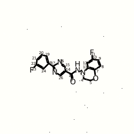 O=C(NN1CCOc2ccc(F)cc21)c1cnc(-c2cccc(F)c2)nc1